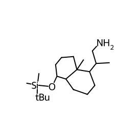 CC(CN)C1CCCC2C(O[Si](C)(C)C(C)(C)C)CCCC12C